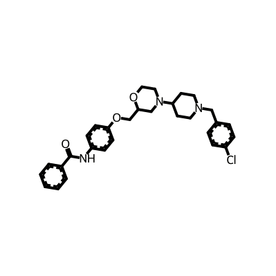 O=C(Nc1ccc(OCC2CN(C3CCN(Cc4ccc(Cl)cc4)CC3)CCO2)cc1)c1ccccc1